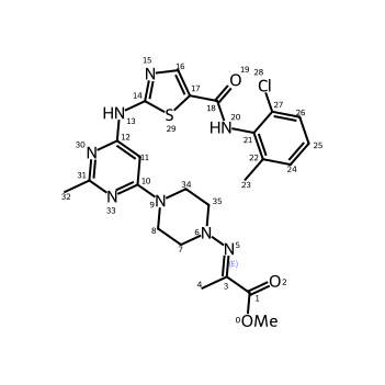 COC(=O)/C(C)=N/N1CCN(c2cc(Nc3ncc(C(=O)Nc4c(C)cccc4Cl)s3)nc(C)n2)CC1